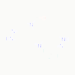 O=C1CCCN1c1cc(-c2c[nH]nc2C(F)(F)F)nc2ccc3[nH]ncc3c12